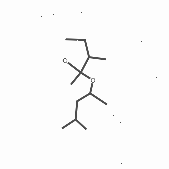 CCC(C)C(C)([O])OC(C)CC(C)C